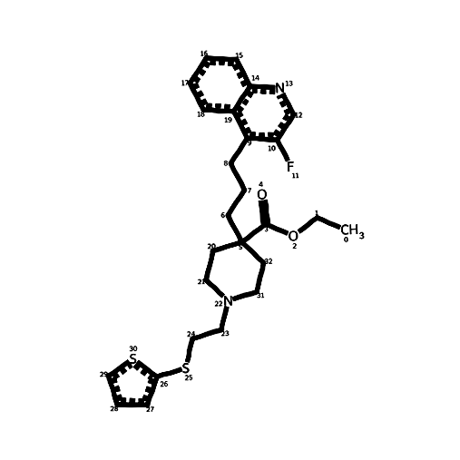 CCOC(=O)C1(CCCc2c(F)cnc3ccccc23)CCN(CCSc2cccs2)CC1